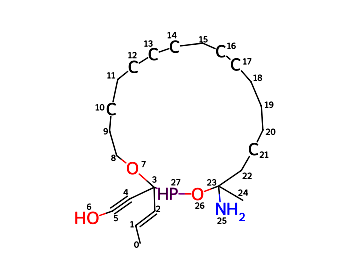 CC=CC1(C#CO)OCCCCCCCCCCCCCCCC(C)(N)OP1